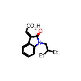 CCC(CC)CN1C(=O)C(=CC(=O)O)c2ccccc21